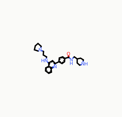 O=C(NCC1CCNCC1)c1ccc(-c2cc(NCCCN3CCCCC3)c3ccccc3n2)cc1